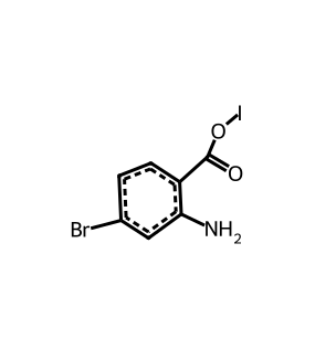 Nc1cc(Br)ccc1C(=O)OI